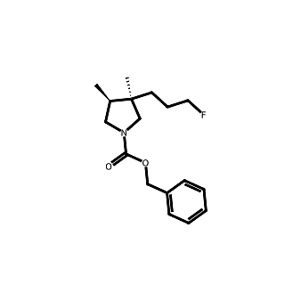 C[C@@H]1CN(C(=O)OCc2ccccc2)C[C@]1(C)CCCF